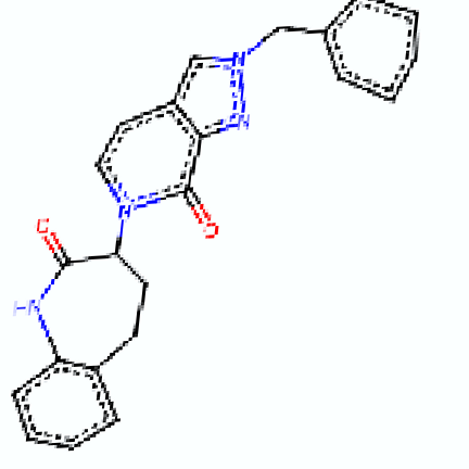 O=C1Nc2ccccc2CCC1n1ccc2cn(Cc3ccccc3)nc2c1=O